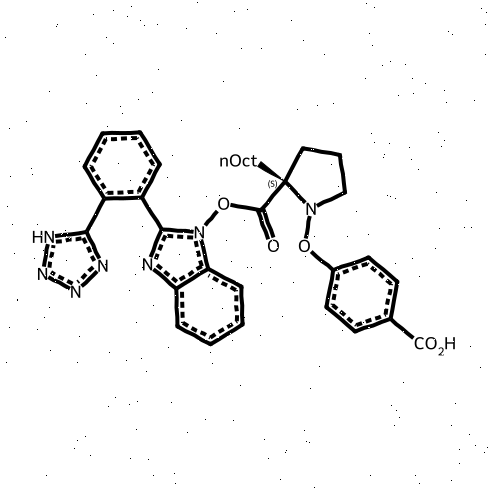 CCCCCCCC[C@@]1(C(=O)On2c(-c3ccccc3-c3nnn[nH]3)nc3ccccc32)CCCN1Oc1ccc(C(=O)O)cc1